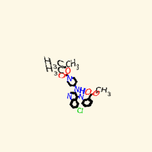 COC(=O)c1ccccc1Nc1c(NC2CCN(C(=O)OC(C)(C)C)CC2)cnc2ccc(Cl)cc12